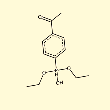 CCO[PH](O)(OCC)c1ccc(C(C)=O)cc1